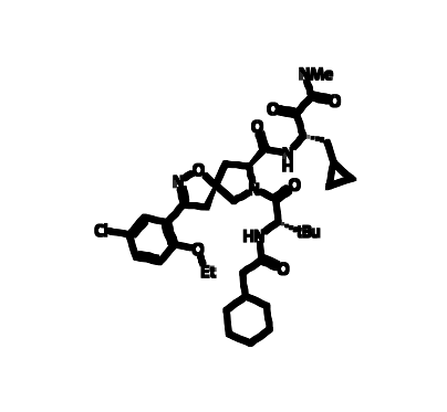 CCOc1ccc(Cl)cc1C1=NO[C@]2(C1)C[C@@H](C(=O)N[C@@H](CC1CC1)C(=O)C(=O)NC)N(C(=O)[C@@H](NC(=O)CC1CCCCC1)C(C)(C)C)C2